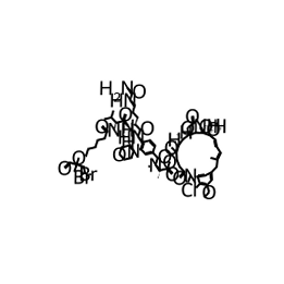 COc1cc2cc(c1Cl)N(C)C(=O)C[C@H](OC(=O)[C@H](C)N(C)C(=O)c1ccc(NC(=O)[C@H](CCCNC(N)=O)NC(=O)[C@@H](NC(=O)CCCCCOC(C=O)(CBr)CBr)C(C)C)c(N3CCOCC3)c1)[C@]1(C)O[C@H]1[C@H](C)[C@@H]1C[C@@](O)(NC(=O)O1)[C@H](OC)/C=C/C=C(\C)C2